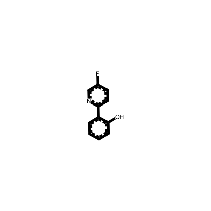 Oc1ccccc1-c1ccc(F)cn1